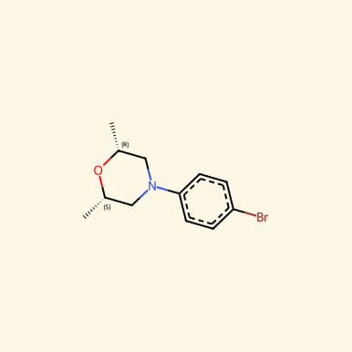 C[C@@H]1CN(c2ccc(Br)cc2)C[C@H](C)O1